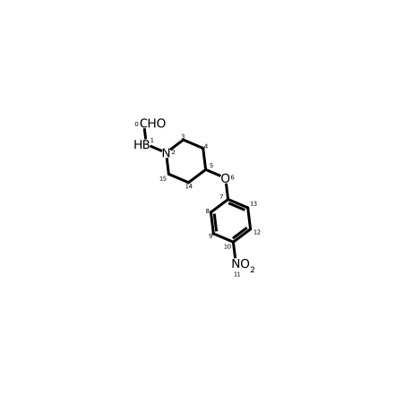 O=CBN1CCC(Oc2ccc([N+](=O)[O-])cc2)CC1